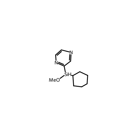 CO[SiH](c1cnccn1)C1CCCCC1